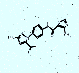 Cc1cc(C(F)F)n(-c2ccc(NC(=O)c3scnc3C)cc2)n1